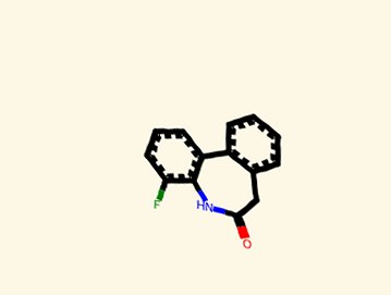 O=C1Cc2ccccc2-c2cccc(F)c2N1